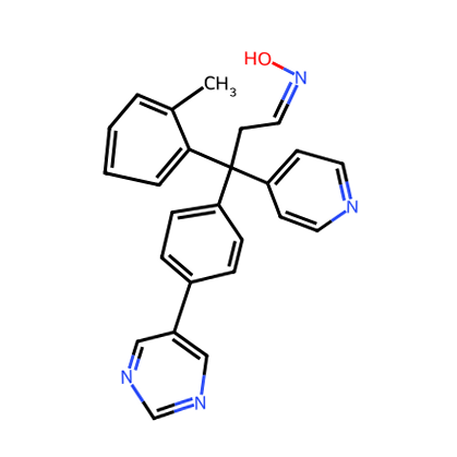 Cc1ccccc1C(C/C=N\O)(c1ccncc1)c1ccc(-c2cncnc2)cc1